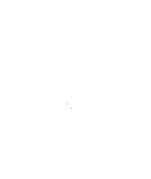 C=C(CN1CCOCC1=O)OCC